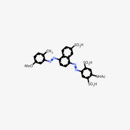 COc1[c]cc(C)c(/N=N/c2ccc(/N=N/c3cc(S(=O)(=O)O)c(NC(C)=O)cc3S(=O)(=O)O)c3cc(S(=O)(=O)O)ccc23)c1